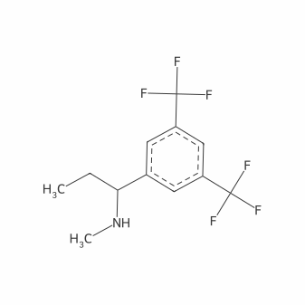 CCC(NC)c1cc(C(F)(F)F)cc(C(F)(F)F)c1